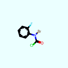 O=C(Cl)N(Br)c1ccccc1F